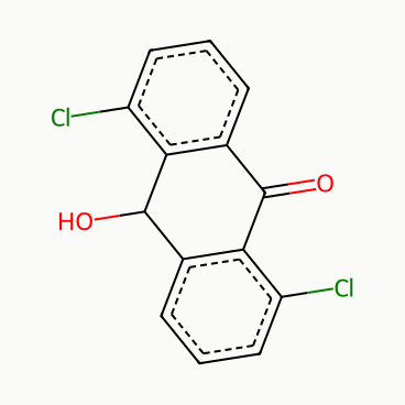 O=C1c2cccc(Cl)c2C(O)c2cccc(Cl)c21